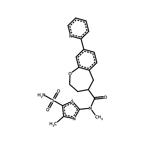 Cc1nc(N(C)C(=O)C2CCOc3cc(-c4ccccn4)ccc3C2)sc1S(N)(=O)=O